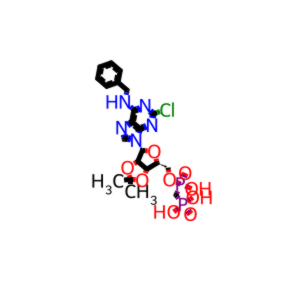 CC1(C)OC2C(O1)[C@@H](COP(=O)(O)CP(=O)(O)O)O[C@H]2n1cnc2c(NCc3ccccc3)nc(Cl)nc21